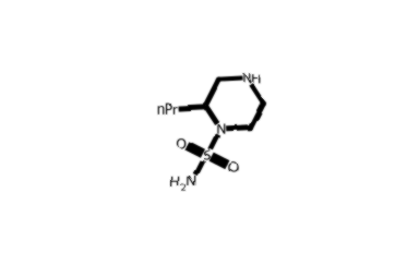 CCCC1CNCCN1S(N)(=O)=O